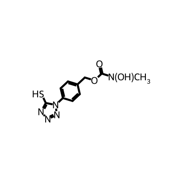 CN(O)C(=O)OCc1ccc(-n2nnnc2S)cc1